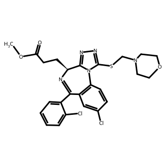 COC(=O)CC[C@@H]1N=C(c2ccccc2Cl)c2cc(Cl)ccc2-n2c(SCN3CCOCC3)nnc21